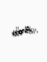 CC(O)c1ncnc2c1ncn2Cc1ccc2c(c1)Nc1nccnc1S2